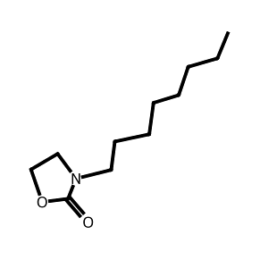 CCCCCCCCN1CCOC1=O